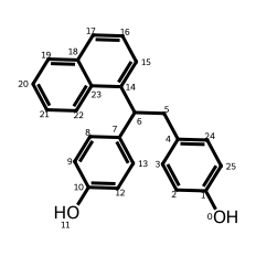 Oc1ccc(CC(c2ccc(O)cc2)c2cccc3ccccc23)cc1